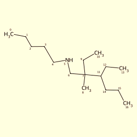 CCCCCNCC(C)(CC)C(CC)CCC